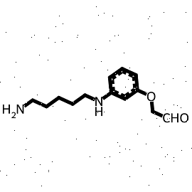 NCCCCCNc1cccc(OCC=O)c1